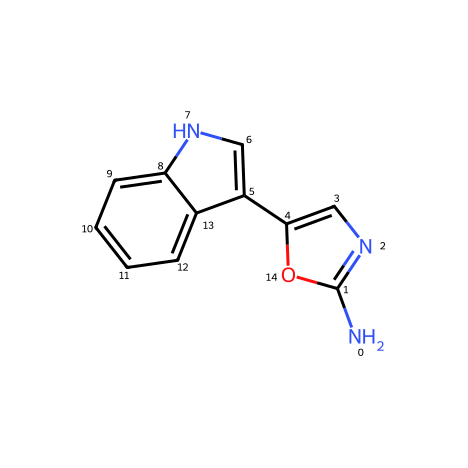 Nc1ncc(-c2c[nH]c3ccccc23)o1